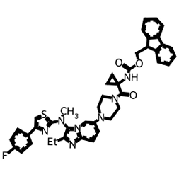 CCc1nc2ccc(N3CCN(C(=O)C4(NC(=O)OCC5c6ccccc6-c6ccccc65)CC4)CC3)cn2c1N(C)c1nc(-c2ccc(F)cc2)cs1